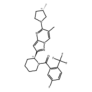 Cc1cn2nc([C@@H]3CCCCN3C(=O)c3cc(F)ccc3C(F)(F)F)cc2nc1N1CC[C@H](C)C1